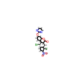 O=c1oc2cc(Oc3ncccn3)ccc2c(CBr)c1Cc1cccc([N+](=O)[O-])c1F